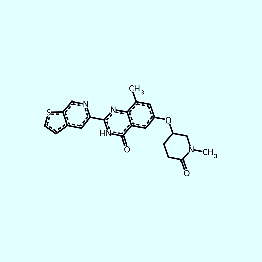 Cc1cc(OC2CCC(=O)N(C)C2)cc2c(=O)[nH]c(-c3cc4ccsc4cn3)nc12